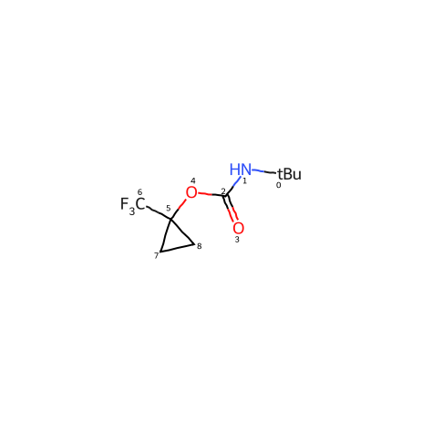 CC(C)(C)NC(=O)OC1(C(F)(F)F)CC1